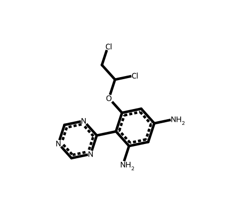 Nc1cc(N)c(-c2ncncn2)c(OC(Cl)CCl)c1